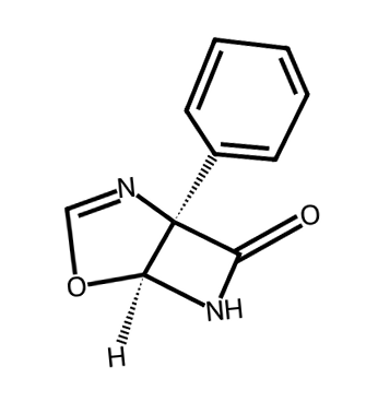 O=C1N[C@H]2OC=N[C@@]12c1ccccc1